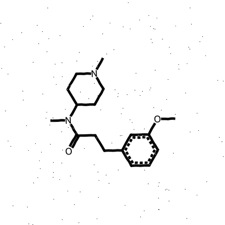 COc1cccc(CCC(=O)N(C)C2CCN(C)CC2)c1